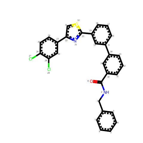 O=C(NCc1ccccc1)c1cccc(-c2cccc(-c3nc(-c4ccc(Cl)c(Cl)c4)cs3)c2)c1